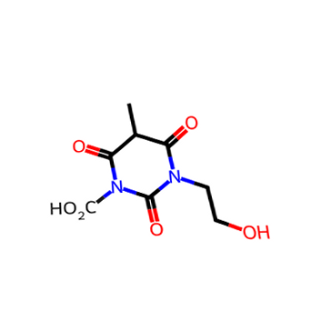 CC1C(=O)N(CCO)C(=O)N(C(=O)O)C1=O